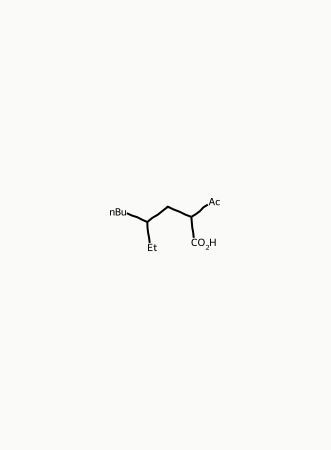 CCCCC(CC)CC(C(C)=O)C(=O)O